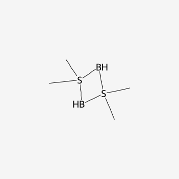 CS1(C)BS(C)(C)B1